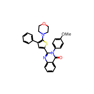 COc1ccc(-n2c(-c3cc(-c4ccccc4)c(N4CCOCC4)s3)nc3ccccc3c2=O)cc1